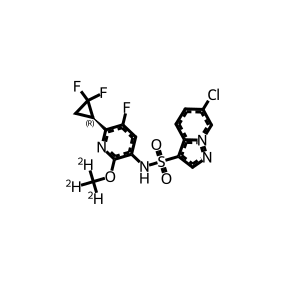 [2H]C([2H])([2H])Oc1nc([C@H]2CC2(F)F)c(F)cc1NS(=O)(=O)c1cnn2cc(Cl)ccc12